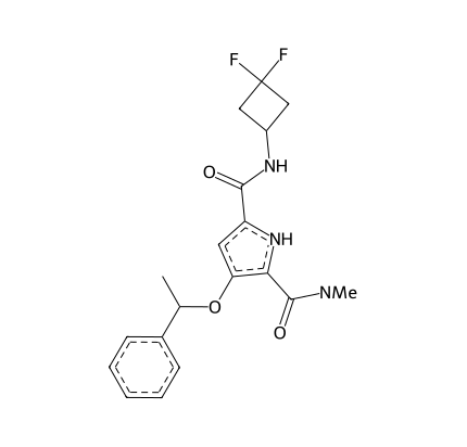 CNC(=O)c1[nH]c(C(=O)NC2CC(F)(F)C2)cc1OC(C)c1ccccc1